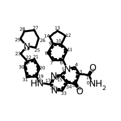 NC(=O)c1cn(-c2ccc3c(c2)CCC3)c2nc(Nc3ccc(CN4CCCCC4)cc3)ncc2c1=O